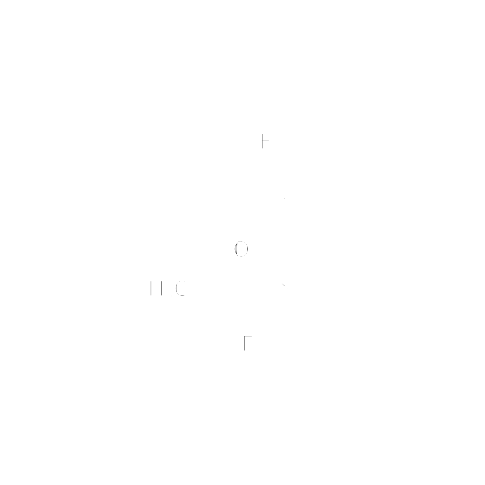 CC1=CC2(F)CCC1(F)O2